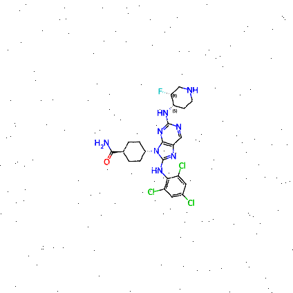 NC(=O)[C@H]1CC[C@H](n2c(Nc3c(Cl)cc(Cl)cc3Cl)nc3cnc(N[C@H]4CCNC[C@H]4F)nc32)CC1